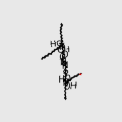 CCCCCCCCCCCCC(O)CN(CCCCC(=O)OCCN1CCN(CCSSCCCCN(CC(O)CCCCCCCC)CC(O)CCCCCCCC)CC1)CC(O)CCCCCCCCCCCC